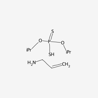 C=CCN.CC(C)OP(=S)(S)OC(C)C